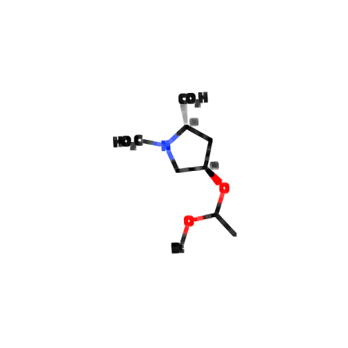 CCOC(C)O[C@@H]1C[C@@H](C(=O)O)N(C(=O)O)C1